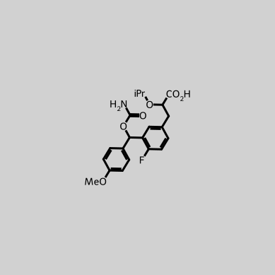 COc1ccc(C(OC(N)=O)c2cc(CC(OC(C)C)C(=O)O)ccc2F)cc1